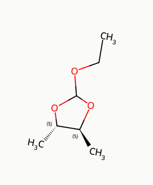 CCOC1O[C@@H](C)[C@H](C)O1